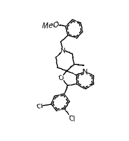 COc1ccccc1CN1CCC2(OC(c3cc(Cl)cc(Cl)c3)c3cccnc32)C(C)C1